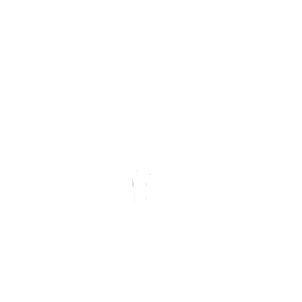 CCCCCCCC(F)C(O)(F)C(O)(O)O